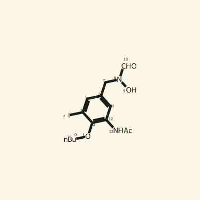 CCCCOc1c(I)cc(CN(O)C=O)cc1NC(C)=O